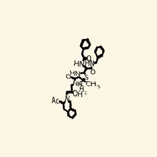 CC(=O)C1Cc2ccccc2CN1CC(O)CNC(=O)C1NC(C(NC(=O)Cc2ccccc2)C(=O)NCc2ccccc2)SC1(C)C